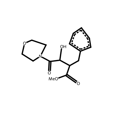 COC(=O)C(Cc1ccccc1)C(O)C(=O)N1CCOCC1